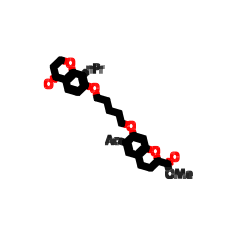 CCCc1c(OCCCCCOc2cc3c(cc2C(C)=O)CCC(C(=O)OC)O3)ccc2c1OCCC2=O